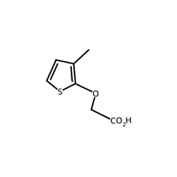 Cc1ccsc1OCC(=O)O